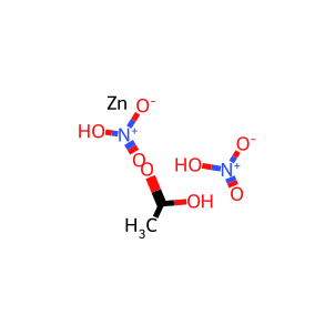 CC(=O)O.O=[N+]([O-])O.O=[N+]([O-])O.[Zn]